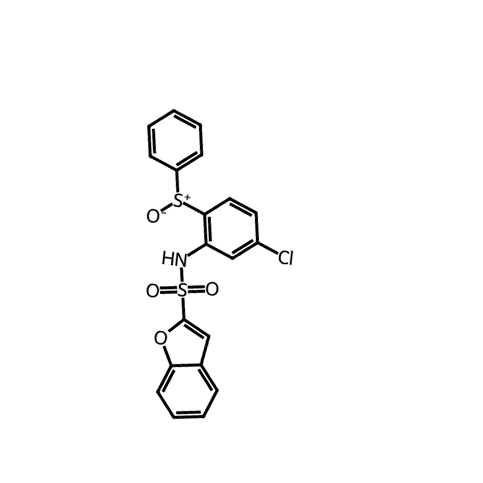 O=S(=O)(Nc1cc(Cl)ccc1[S+]([O-])c1ccccc1)c1cc2ccccc2o1